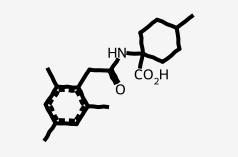 Cc1cc(C)c(CC(=O)NC2(C(=O)O)CCC(C)CC2)c(C)c1